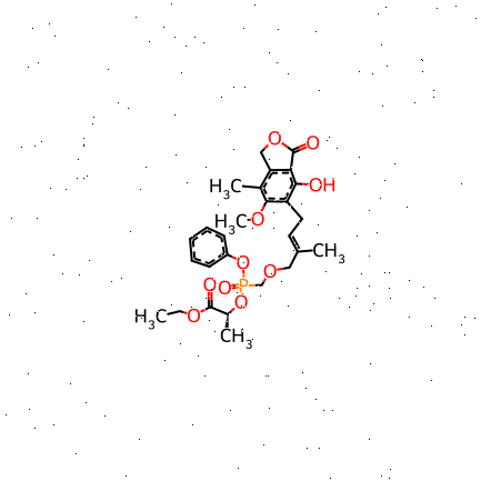 CCOC(=O)[C@H](C)OP(=O)(COC/C(C)=C/Cc1c(O)c2c(c(C)c1OC)COC2=O)Oc1ccccc1